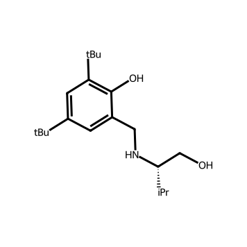 CC(C)[C@@H](CO)NCc1cc(C(C)(C)C)cc(C(C)(C)C)c1O